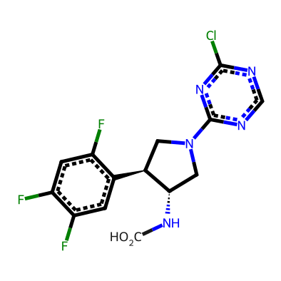 O=C(O)N[C@H]1CN(c2ncnc(Cl)n2)C[C@@H]1c1cc(F)c(F)cc1F